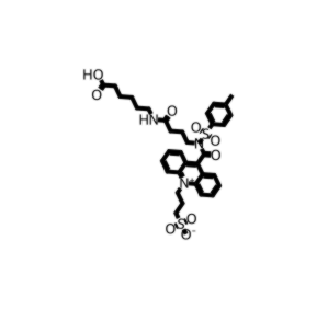 Cc1ccc(S(=O)(=O)N(CCCC(=O)NCCCCCC(=O)O)C(=O)c2c3ccccc3[n+](CCCS(=O)(=O)[O-])c3ccccc23)cc1